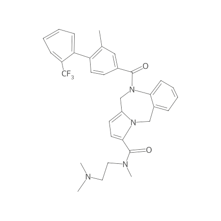 Cc1cc(C(=O)N2Cc3ccc(C(=O)N(C)CCN(C)C)n3Cc3ccccc32)ccc1-c1ccccc1C(F)(F)F